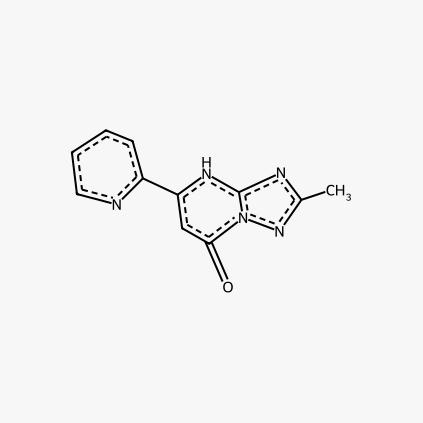 Cc1nc2[nH]c(-c3ccccn3)cc(=O)n2n1